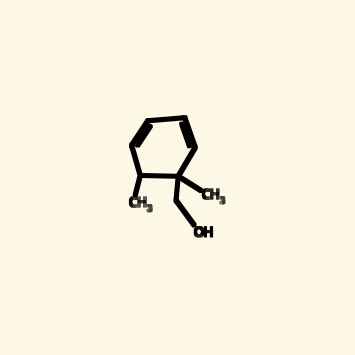 CC1C=CC=CC1(C)CO